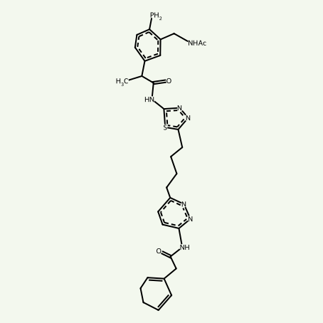 CC(=O)NCc1cc(C(C)C(=O)Nc2nnc(CCCCc3ccc(NC(=O)CC4=CCCC=C4)nn3)s2)ccc1P